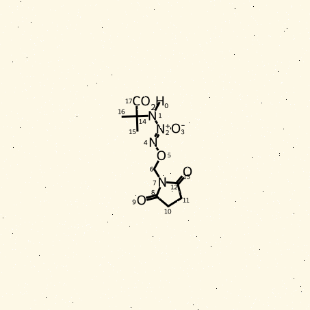 CN([N+]([O-])=NOCN1C(=O)CCC1=O)C(C)(C)C(=O)O